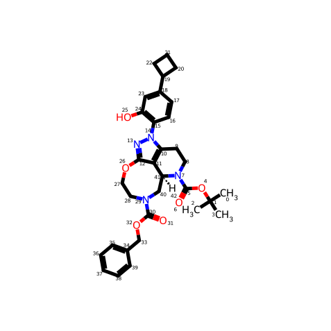 CC(C)(C)OC(=O)N1CCc2c3c(nn2-c2ccc(C4CCC4)cc2O)OCCN(C(=O)OCc2ccccc2)C[C@@H]31